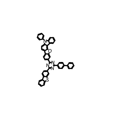 c1ccc(-c2ccc(-c3nc(-c4ccc5c(c4)oc4c5ccc5c4c4ccccc4n5-c4ccccc4)nc(-c4ccc5c(c4)sc4ccccc45)n3)cc2)cc1